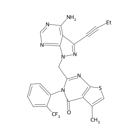 CCC#Cc1nn(Cc2nc3scc(C)c3c(=O)n2-c2ccccc2C(F)(F)F)c2ncnc(N)c12